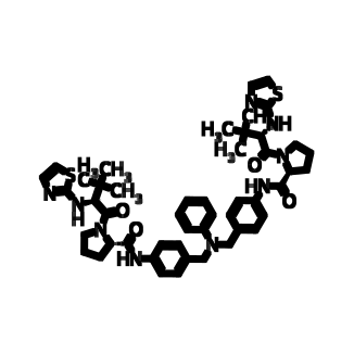 CC(C)(C)[C@H](Nc1nccs1)C(=O)N1CCC[C@H]1C(=O)Nc1ccc(CN(Cc2ccc(NC(=O)[C@@H]3CCCN3C(=O)[C@@H](Nc3nccs3)C(C)(C)C)cc2)c2ccccc2)cc1